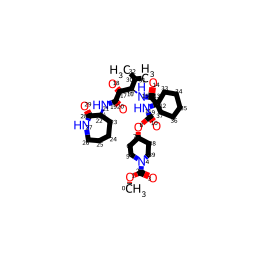 COC(=O)N1CCC(OC(=O)NC2(C(=O)N[C@H](C(=O)C(=O)N[C@H]3CCCCNC3=O)C(C)C)CCCCC2)CC1